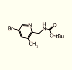 Cc1cc(Br)cnc1CNC(=O)OC(C)(C)C